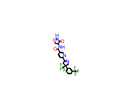 O=C(NC1CONC1=O)c1ccc(C2=NCC(c3cccc(C(F)(F)F)c3)(C(F)(F)F)C2)nc1